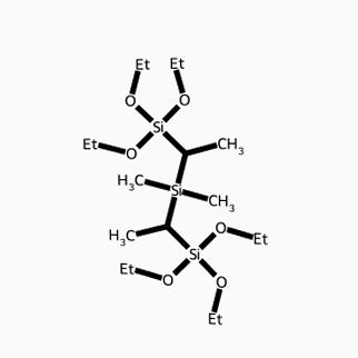 CCO[Si](OCC)(OCC)C(C)[Si](C)(C)C(C)[Si](OCC)(OCC)OCC